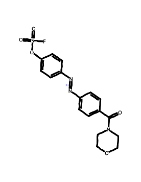 O=C(c1ccc(/N=N/c2ccc(OS(=O)(=O)F)cc2)cc1)N1CCOCC1